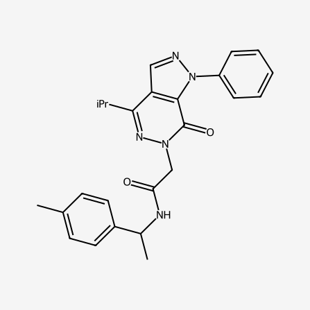 Cc1ccc(C(C)NC(=O)Cn2nc(C(C)C)c3cnn(-c4ccccc4)c3c2=O)cc1